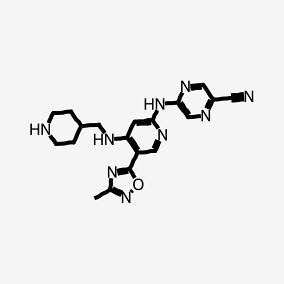 Cc1noc(-c2cnc(Nc3cnc(C#N)cn3)cc2NCC2CCNCC2)n1